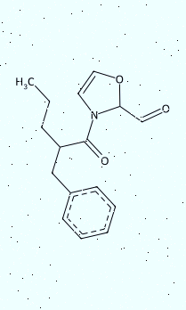 CCCC(Cc1ccccc1)C(=O)N1C=COC1C=O